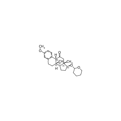 COc1ccc2c(c1)CC[C@@]1(C)[C@@H]3CC[C@H](OC4CCCCO4)[C@@]3(C)CC(=O)[C@@H]21